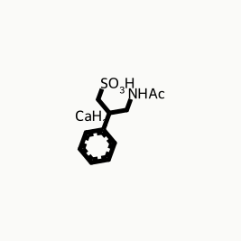 CC(=O)NCC(CS(=O)(=O)O)c1ccccc1.[CaH2]